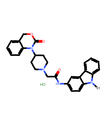 CCn1c2ccccc2c2cc(NC(=O)CN3CCC(N4C(=O)OCc5ccccc54)CC3)ccc21.Cl